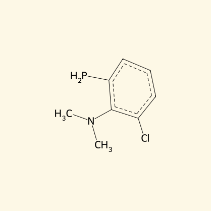 CN(C)c1c(P)cccc1Cl